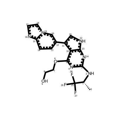 C[C@@H](Nc1nc(OCCO)c2c(-c3ccc4nccn4c3)c[nH]c2n1)C(F)(F)F